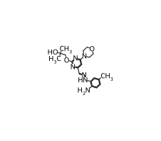 Cc1ccc(N)c(N/N=C/c2cc(N3CCOCC3)nc(OCC(C)(C)O)n2)c1